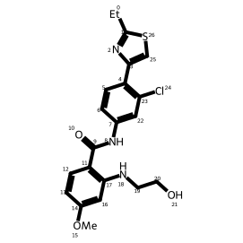 CCc1nc(-c2ccc(NC(=O)c3ccc(OC)cc3NCCO)cc2Cl)cs1